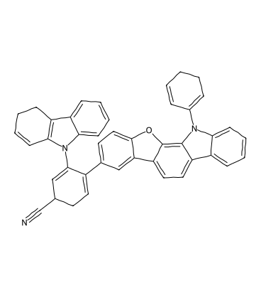 N#CC1C=C(n2c3c(c4ccccc42)CCC=C3)C(c2ccc3oc4c(ccc5c6ccccc6n(C6=CCCC=C6)c54)c3c2)=CC1